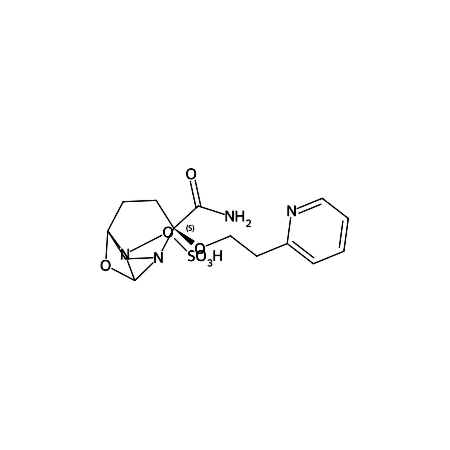 NC(=O)[C@@]1(OCCc2ccccn2)CCC23CN1C(O2)N3OS(=O)(=O)O